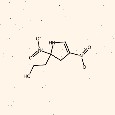 O=[N+]([O-])C1=CNC(CCO)([N+](=O)[O-])C1